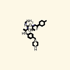 C=C(Nc1ccc(CN2CCNCC2)cc1)/C(C#N)=C(\N=C/N)O/C(=C/C(F)=C1CCC(C)CC1)C(=C)F